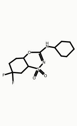 O=S1(=O)N=C(NC2CCCCC2)OC2CCC(F)(F)CC21